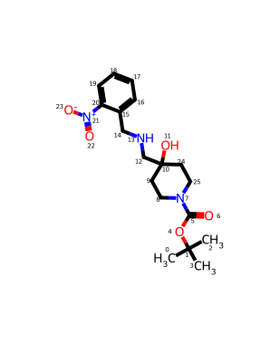 CC(C)(C)OC(=O)N1CCC(O)(CNCc2ccccc2[N+](=O)[O-])CC1